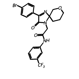 O=C(CN1C(=O)C(c2ccc(Br)cc2)=NC12CCCOC2)Nc1cccc(C(F)(F)F)c1